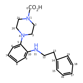 O=C(O)N1CCN(c2ccccc2NCCc2ccccc2)CC1